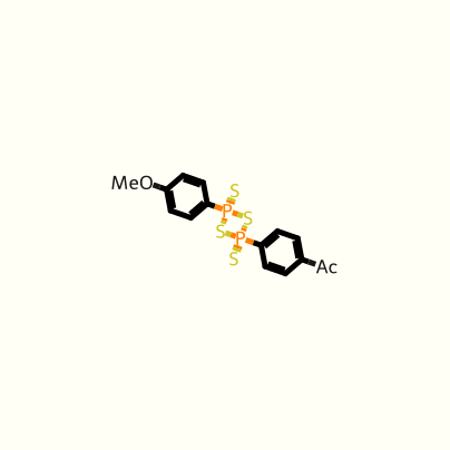 COc1ccc(P2(=S)SP(=S)(c3ccc(C(C)=O)cc3)S2)cc1